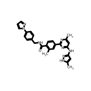 Cc1cc(Nc2cc(C)[nH]n2)nc(-c2ccc(C(=O)NCc3ccc(-n4cccn4)cc3)c(C)c2)n1